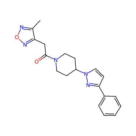 Cc1nonc1CC(=O)N1CCC(n2ccc(-c3ccccc3)n2)CC1